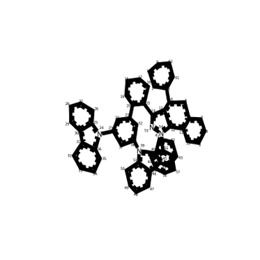 c1ccc(-c2cc3ccccc3c3c2c(-c2ccccc2-c2cc(-n4c5ccccc5c5ccccc54)cc(-n4c5ccccc5c5ccccc54)c2)nn3-c2ccccc2)cc1